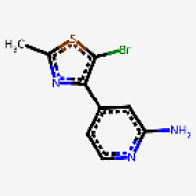 Cc1nc(-c2ccnc(N)c2)c(Br)s1